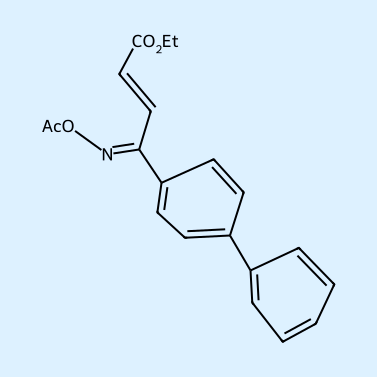 CCOC(=O)C=CC(=NOC(C)=O)c1ccc(-c2ccccc2)cc1